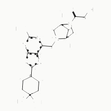 Cc1nc(CN2C[C@@H]3C[C@H]2CN3C(=O)CO)c2nc(C3CCC(C)(C)CC3)sc2n1